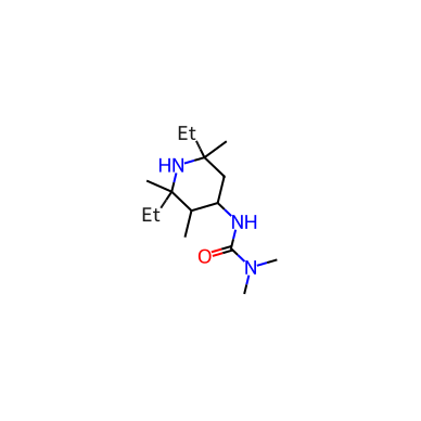 CCC1(C)CC(NC(=O)N(C)C)C(C)C(C)(CC)N1